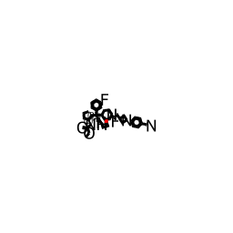 COC(=O)N[C@H]1CCC[C@@H]1[C@](CN1CCC1)(c1cccc(F)c1)C1CCN(CC2(F)CN(c3ccc(C#N)cc3)C2)CC1